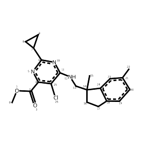 COC(=O)c1nc(C2CC2)nc(NCC2(C)CCc3ccc(C)cc32)c1Cl